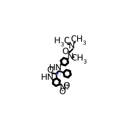 CCN(CC)CC(=O)N(C)c1ccc(N/C(=C2\C(=O)Nc3ccc([N+](=O)[O-])cc32)c2ccccc2)cc1